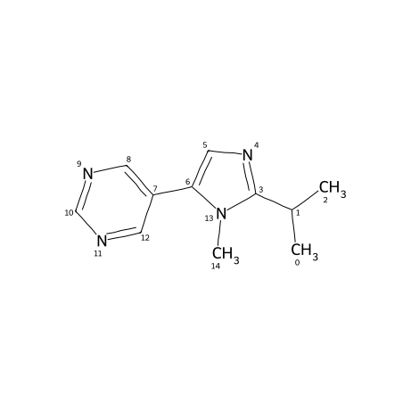 CC(C)c1ncc(-c2cncnc2)n1C